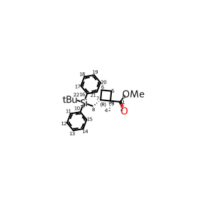 COC(=O)[C@]1(C)CC[C@H]1C[Si](c1ccccc1)(c1ccccc1)C(C)(C)C